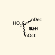 CCCCCCCC/C=C\CCCCCCC(CCCCCCCCCCCCCCCC)C(=O)O.[KH].[NaH]